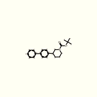 CC(C)(C)OC(=O)N1CCCC(c2ccc(-c3ccccc3)cc2)C1